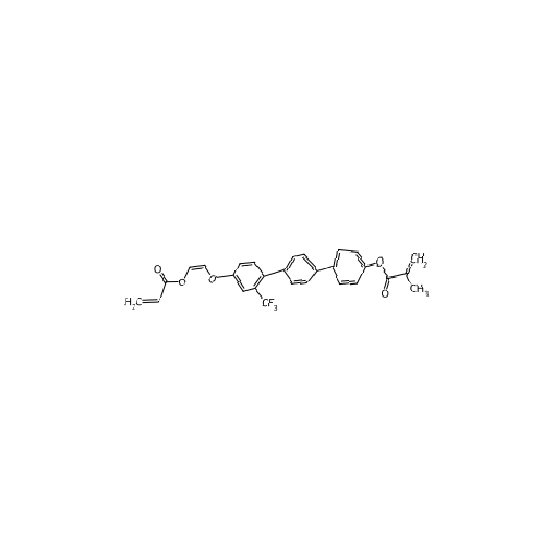 C=CC(=O)O/C=C\Oc1ccc(-c2ccc(-c3ccc(OC(=O)C(=C)C)cc3)cc2)c(C(F)(F)F)c1